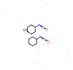 C.O=C=NC1CCCCC1.O=C=NC1CCCCC1